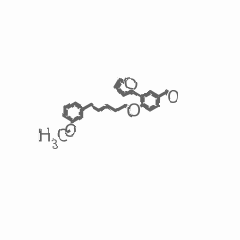 COc1cccc(CCCCCOc2ccc(C=O)cc2-c2ccco2)c1